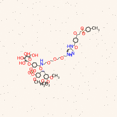 COc1ccc(/C=C\c2cc(OC)c(OC)c(OC)c2)cc1OS(=O)(=O)Oc1cc(C(=O)NCCOCCOCCOCCN2C#CC(NC(=O)c3ccc(C(=O)CCS(=O)(=O)c4ccc(C)cc4)cc3)CN=N2)ccc1OC1O[C@H](CO)[C@H](O)[C@H](O)[C@H]1O